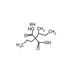 CCCC(C(=O)O)(C(=O)O)C(C)CC.[KH]